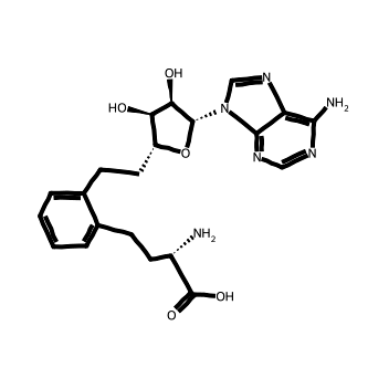 Nc1ncnc2c1ncn2[C@@H]1O[C@H](CCc2ccccc2CC[C@H](N)C(=O)O)[C@@H](O)[C@H]1O